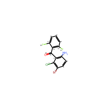 Nc1ccc(Br)c(Cl)c1C(=O)c1c(F)cccc1F